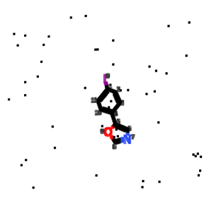 Ic1ccc(-c2cnco2)cc1